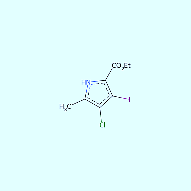 CCOC(=O)c1[nH]c(C)c(Cl)c1I